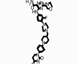 NC(=O)c1nnc(C2COCCN2)nc1Nc1ccc(N2CCN(CC3CCN(c4ccc(N5CCC(=O)NC5=O)cc4)CC3)CC2)c(F)c1